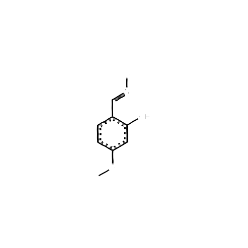 COc1ccc(C=NO)c(O)c1